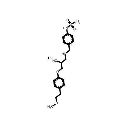 COCCc1ccc(OCC(O)CNCc2ccc(NS(C)(=O)=O)cc2)cc1.Cl